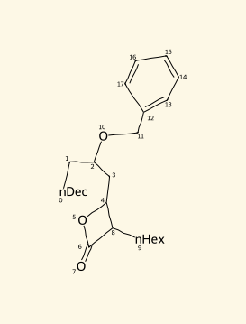 CCCCCCCCCCCC(CC1OC(=O)C1CCCCCC)OCc1ccccc1